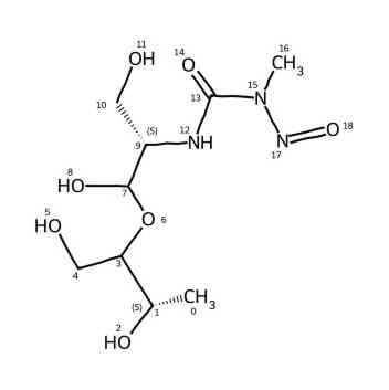 C[C@H](O)C(CO)OC(O)[C@H](CO)NC(=O)N(C)N=O